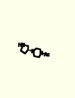 CC(=O)N1CCN([C@@H]2CCNC2)CC1